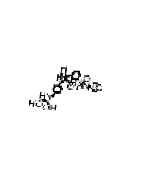 O=C(Nc1cccc2c1C(=O)c1c(-c3ccc(CNC(CO)CO)cc3)n[nH]c1-2)NN1CCOCC1